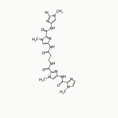 [2H]c1nc(NC(=O)c2nc(NC(=O)CCNC(=O)c3nc(NC(=O)c4nccn4C)cn3C)cn2C)cn1C